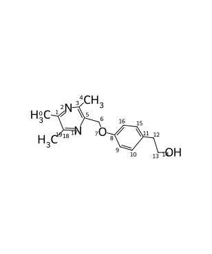 Cc1nc(C)c(COc2ccc(CCO)cc2)nc1C